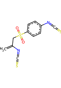 C=C(CS(=O)(=O)c1ccc(N=C=S)cc1)N=C=S